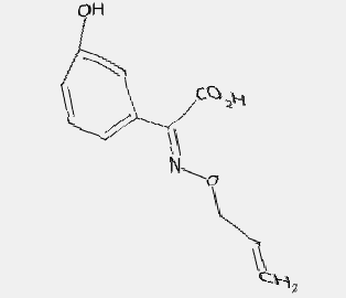 C=CCO/N=C(\C(=O)O)c1cccc(O)c1